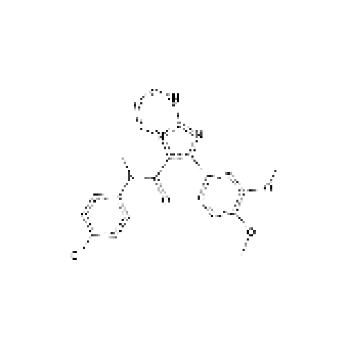 COc1ccc(-c2nc3ncccn3c2C(=O)N(C)c2ccc(Cl)cc2)cc1OC